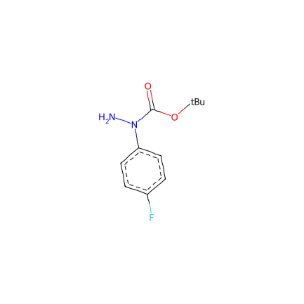 CC(C)(C)OC(=O)N(N)c1ccc(F)cc1